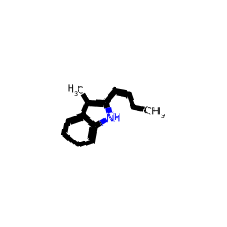 CC/C=C\c1[nH]c2c(c1C)=CCCC=2